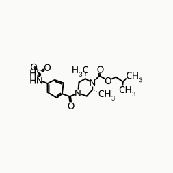 CC(C)COC(=O)N1[C@H](C)CN(C(=O)c2ccc(N[SH](=O)=O)cc2)C[C@@H]1C